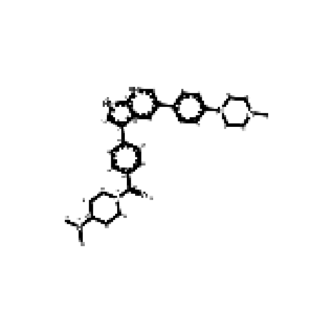 CN1CCN(c2ccc(-c3cnc4[nH]cc(-c5ccc(C(=O)N6CCC(N(C)C)CC6)cc5)c4c3)cc2)CC1